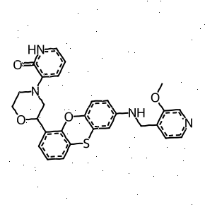 COc1cnccc1CNc1ccc2c(c1)Sc1cccc(C3CN(c4ccc[nH]c4=O)CCO3)c1O2